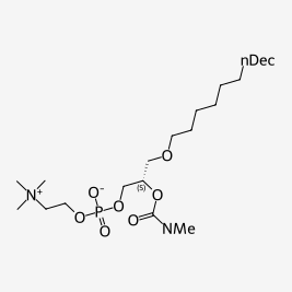 CCCCCCCCCCCCCCCCOC[C@@H](COP(=O)([O-])OCC[N+](C)(C)C)OC(=O)NC